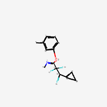 CN=C(Oc1cccc(C)c1)C(F)(F)C(F)C1CC1